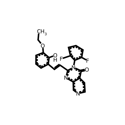 CCOc1cccc(/C=C/c2nc3cnccc3c(=O)n2-c2c(F)cccc2F)c1O